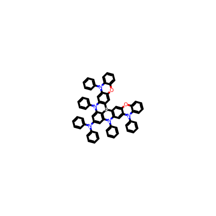 c1ccc(N(c2ccccc2)c2cc3c4c(c2)N(c2ccccc2)c2cc5c(cc2B4c2cc4c(cc2N3c2ccccc2)N(c2ccccc2)c2ccccc2O4)Oc2ccccc2N5c2ccccc2)cc1